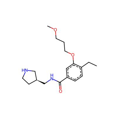 CCc1ccc(C(=O)NC[C@H]2CCNC2)cc1OCCCOC